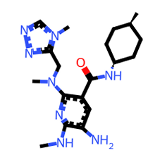 CNc1nc(N(C)Cc2nncn2C)c(C(=O)N[C@H]2CC[C@H](C)CC2)cc1N